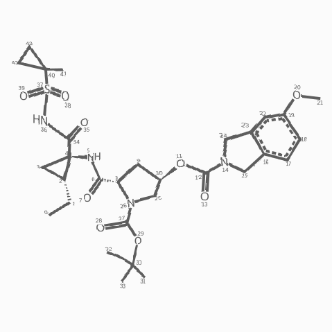 CC[C@@H]1C[C@]1(NC(=O)[C@@H]1C[C@@H](OC(=O)N2Cc3ccc(OC)cc3C2)CN1C(=O)OC(C)(C)C)C(=O)NS(=O)(=O)C1(C)CC1